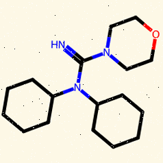 N=C(N1CCOCC1)N(C1CCCCC1)C1CCCCC1